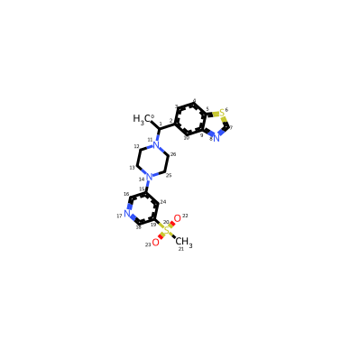 CC(c1ccc2scnc2c1)N1CCN(c2cncc(S(C)(=O)=O)c2)CC1